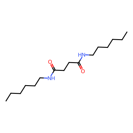 CCCCCCNC(=O)CCC(=O)NCCCCCC